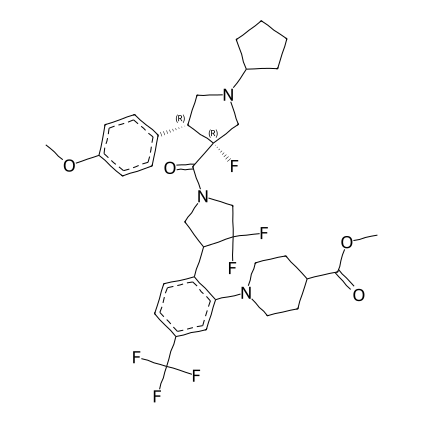 COC(=O)C1CCN(c2cc(C(F)(F)F)ccc2C2CN(C(=O)[C@]3(F)CN(C4CCCC4)C[C@H]3c3ccc(OC)cc3)CC2(F)F)CC1